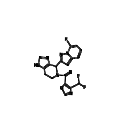 O=C(c1ocnc1C(F)F)N1CCc2[nH]cnc2C1c1cc2cccc(F)n2n1